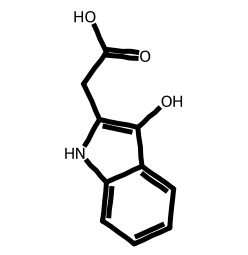 O=C(O)Cc1[nH]c2ccccc2c1O